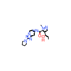 CC=C(O)c1cnn(C)c1C(=O)Nc1ccn2nc(N3CCCC3)nc2c1